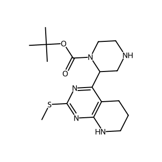 CSc1nc2c(c(C3CNCCN3C(=O)OC(C)(C)C)n1)CCCN2